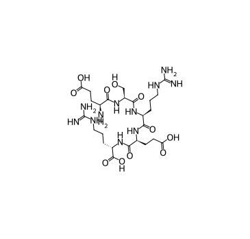 N=C(N)NCCC[C@H](NC(=O)[C@H](CCC(=O)O)NC(=O)[C@H](CCCNC(=N)N)NC(=O)[C@H](CO)NC(=O)[C@@H](N)CCC(=O)O)C(=O)O